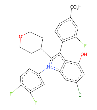 O=C(O)c1ccc(-c2c(C3CCOCC3)n(-c3ccc(F)c(F)c3)c3cc(Cl)cc(O)c23)c(F)c1